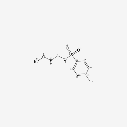 CCOPCOS(=O)(=O)c1ccc(C)cc1